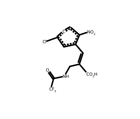 O=C(O)C(=Cc1cc(Cl)ccc1[N+](=O)[O-])CNC(=O)C(F)(F)F